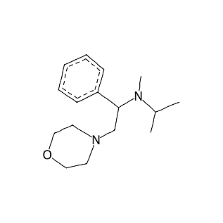 CC(C)N(C)C(CN1CCOCC1)c1ccccc1